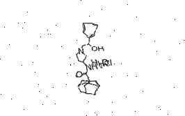 Cl.O.O=C(NC1CCN(CC(O)c2ccccc2)C1)C12CC3CC(CC(C3)C1)C2